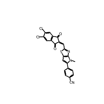 Cn1c(-c2ccc(C#N)cc2)cc2sc(C=C3C(=O)c4cc(Cl)c(Cl)cc4C3=O)nc21